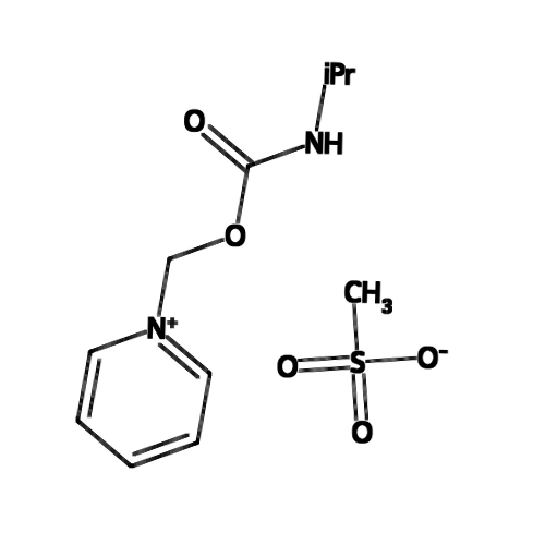 CC(C)NC(=O)OC[n+]1ccccc1.CS(=O)(=O)[O-]